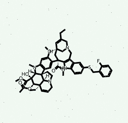 CCC1=C[C@H]2CN(C1)Cc1c([nH]c3ccc(SCc4ccccc4F)cc13)[C@@](C(=O)OC)(c1cc3c(cc1OC)N(C)[C@H]1[C@@](O)(C(=O)OC)[C@H](OC(C)=O)[C@]4(CC)C=CCN5CC[C@]31[C@@H]54)C2